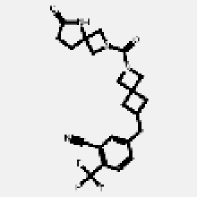 N#Cc1cc(CC2CC3(C2)CN(C(=O)N2CC4(CCC(=O)N4)C2)C3)ccc1C(F)(F)F